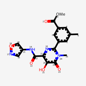 COC(=O)c1cc(C)cc(-c2nc(C(=O)Nc3cnoc3)c(O)c(=O)n2C)c1